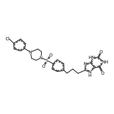 O=c1[nH]c(=O)c2[nH]c(CCCc3ccc(S(=O)(=O)N4CCN(c5ccc(Cl)cc5)CC4)cc3)nc2[nH]1